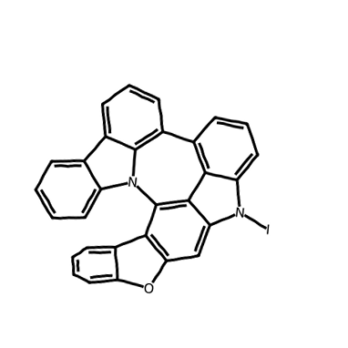 In1c2cccc3c4cccc5c6ccccc6n(c45)c4c5c(cc1c4c32)oc1ccccc15